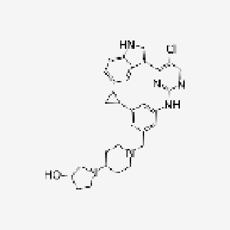 OC1CCN(C2CCN(Cc3cc(Nc4ncc(Cl)c(-c5c[nH]c6ccccc56)n4)cc(C4CC4)c3)CC2)C1